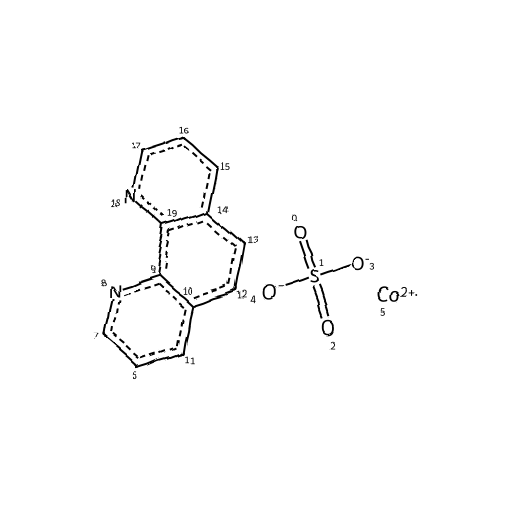 O=S(=O)([O-])[O-].[Co+2].c1cnc2c(c1)ccc1cccnc12